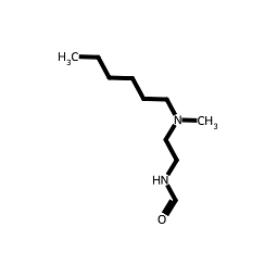 CCCCCCN(C)CCNC=O